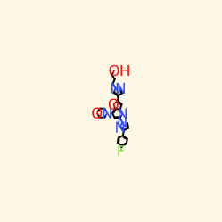 OCCCn1cc(-c2cc3nc(-n4ccc(-c5ccc(F)cc5)n4)cc(N4CCOCC4)c3o2)cn1